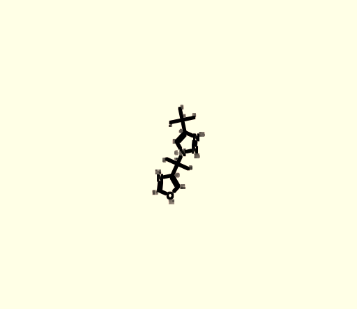 CC(C)(C)c1cn(C(C)(C)c2cocn2)nn1